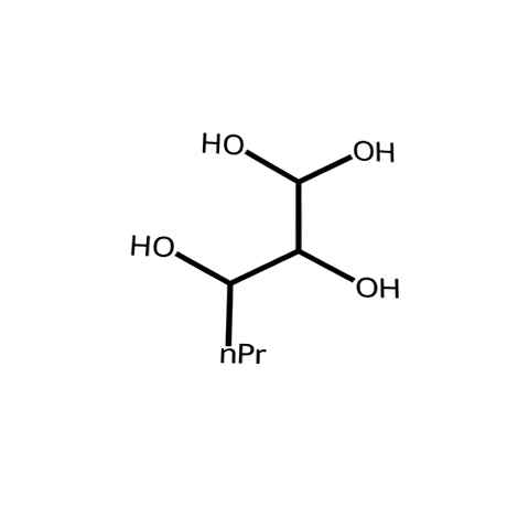 CCCC(O)C(O)C(O)O